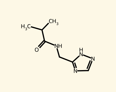 CC(C)C(=O)NCc1ncn[nH]1